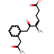 CC(=O)Cc1ccccc1CC(=O)/C(C)=C\CCC(=O)O